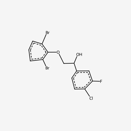 OC(COc1c(Br)cccc1Br)c1ccc(Cl)c(F)c1